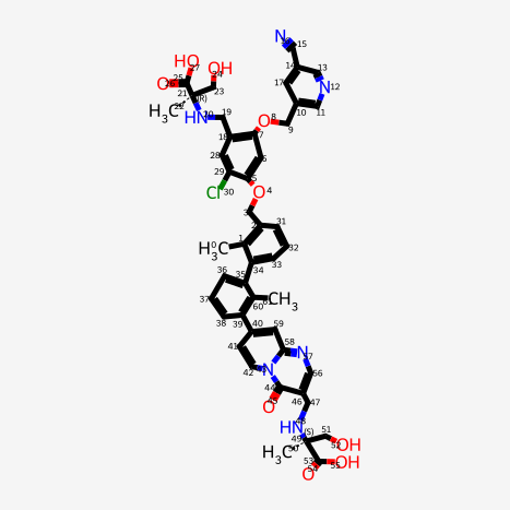 Cc1c(COc2cc(OCc3cncc(C#N)c3)c(CN[C@](C)(CO)C(=O)O)cc2Cl)cccc1-c1cccc(-c2ccn3c(=O)c(CN[C@@](C)(CO)C(=O)O)cnc3c2)c1C